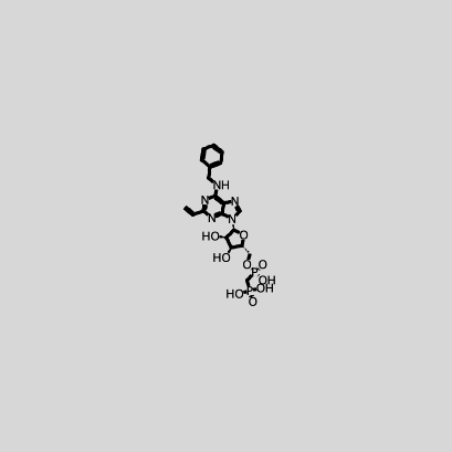 C=Cc1nc(NCc2ccccc2)c2ncn([C@@H]3O[C@H](COP(=O)(O)CP(=O)(O)O)[C@@H](O)[C@H]3O)c2n1